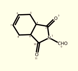 O=CN1C(=O)C2CC=CCC2C1=O